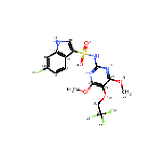 COc1nc(NS(=O)(=O)c2c[nH]c3cc(F)ccc23)nc(OC)c1OCC(F)(F)F